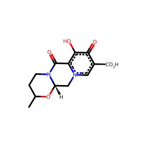 CC1CCN2C(=O)c3c(O)c(=O)c(C(=O)O)cn3C[C@@H]2O1